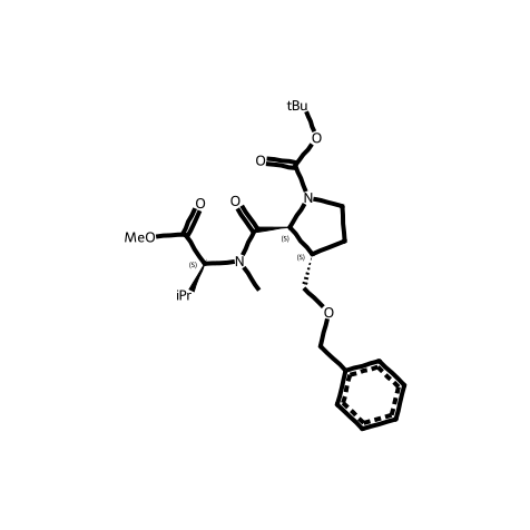 COC(=O)[C@H](C(C)C)N(C)C(=O)[C@@H]1[C@@H](COCc2ccccc2)CCN1C(=O)OC(C)(C)C